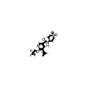 O=C(NN1CCS(=O)(=O)CC1)c1cnc(OCC(F)(F)F)c(C2CC2)c1